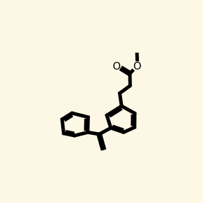 C=C(c1ccccc1)c1cccc(CCC(=O)OC)c1